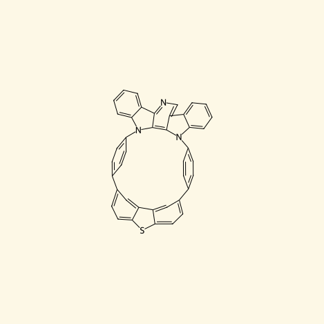 c1ccc2c(c1)c1cnc3c4ccccc4n4c5ccc(cc5)c5ccc6sc7ccc(cc7c6c5)c5ccc(cc5)n2c1c34